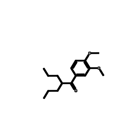 CCCC(CCC)C(=O)c1ccc(OC)c(OC)c1